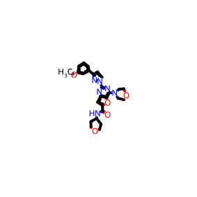 COc1cccc(-c2ccn(-c3nc(N4CCOCC4)c4oc(C(=O)NC5CCOCC5)cc4n3)n2)c1